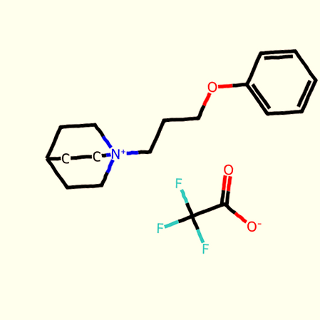 O=C([O-])C(F)(F)F.c1ccc(OCCC[N+]23CCC(CC2)CC3)cc1